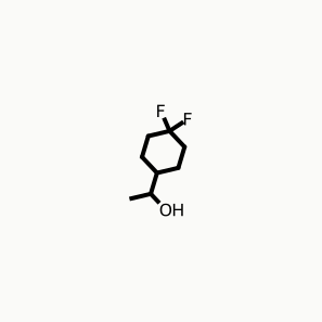 CC(O)C1CCC(F)(F)CC1